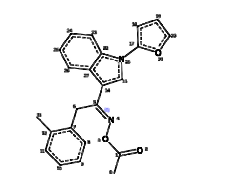 CC(=O)O/N=C(\Cc1ccccc1C)c1cn(-c2ccco2)c2ccccc12